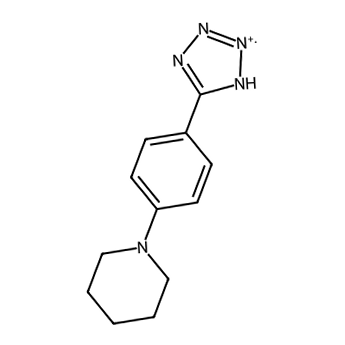 c1cc(N2CCCCC2)ccc1C1=NN=[N+]N1